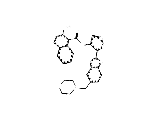 COc1ccc2ccccc2c1C(=O)Nc1c[nH]nc1-c1nc2cc(CN3CCOCC3)ccc2[nH]1